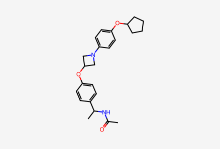 CC(=O)NC(C)c1ccc(OC2CN(c3ccc(OC4CCCC4)cc3)C2)cc1